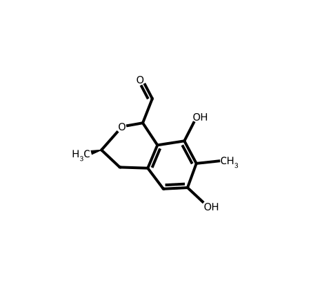 Cc1c(O)cc2c(c1O)C(C=O)O[C@H](C)C2